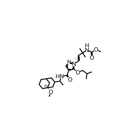 COC(=O)NC(C)(C)/C=C/n1ncc(C(=O)NC(C)C2CC3CCC[C@@](OC)(C3)C2)c1OCC(C)C